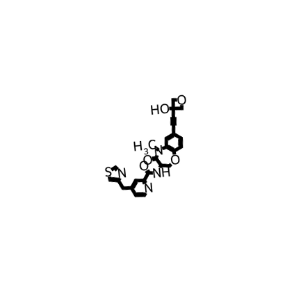 CN1C(=O)C(NC(=O)c2cc(Cc3cscn3)ccn2)COc2ccc(C#CC3(O)COC3)cc21